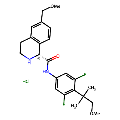 COCc1ccc2c(c1)CCN[C@H]2C(=O)Nc1cc(F)c(C(C)(C)COC)c(F)c1.Cl